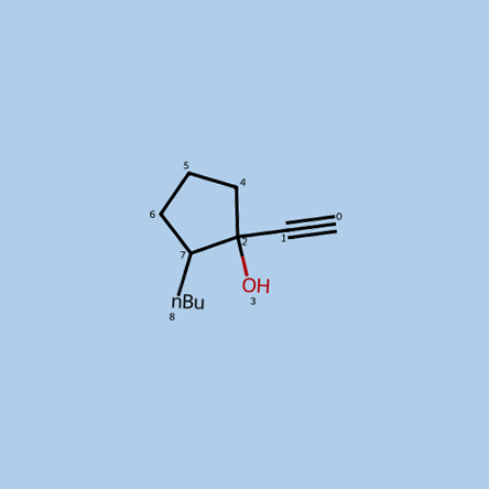 C#CC1(O)CCCC1CCCC